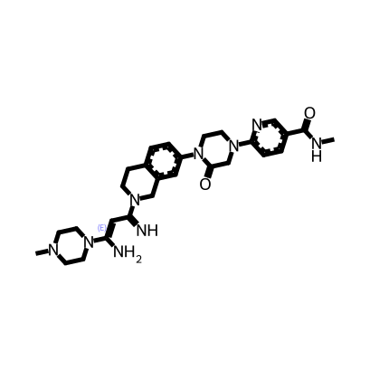 CNC(=O)c1ccc(N2CCN(c3ccc4c(c3)CN(C(=N)/C=C(\N)N3CCN(C)CC3)CC4)C(=O)C2)nc1